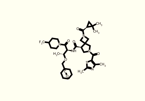 Cc1nc(C)c(C(=O)N2C[C@@H](C(=O)N[C@H](C(=O)N3CCC(C(F)(F)F)CC3)[C@@H](C)OCC34CCC(CC3)OC4)C3(C2)CN(C(=O)[C@H]2CC2(C)C)C3)s1